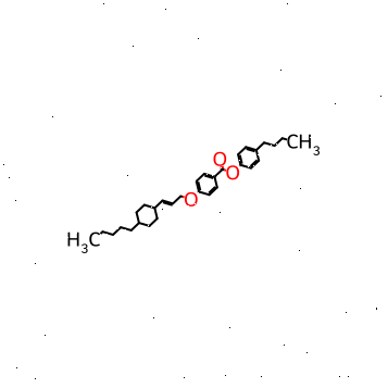 CCCCCC1CCC(C=CCOc2ccc(C(=O)Oc3ccc(CCCC)cc3)cc2)CC1